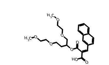 COCCOCCC(COCCOC)OC(=O)C(=Cc1ccc2ccccc2c1)C(=O)O